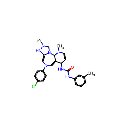 Cc1cccc(NC(=O)NC2C=CN(C)C3C2=CN(c2ccc(Cl)cc2)C=C2NN(C(C)C)CN23)c1